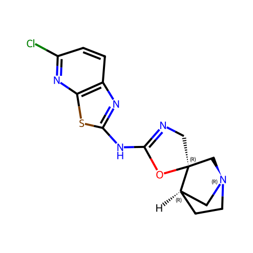 Clc1ccc2nc(NC3=NC[C@@]4(C[N@@]5CC[C@@H]4C5)O3)sc2n1